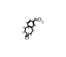 O=[N+]([O-])c1ccc2c(c1)CCN(Cl)CC2